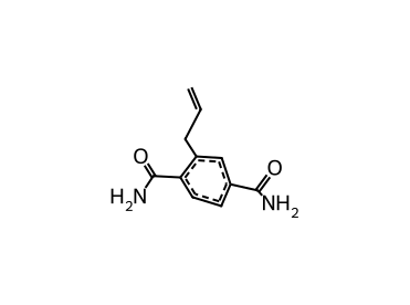 C=CCc1cc(C(N)=O)ccc1C(N)=O